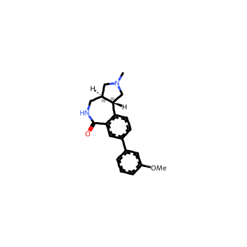 COc1cccc(-c2ccc3c(c2)C(=O)NC[C@H]2CN(C)C[C@H]32)c1